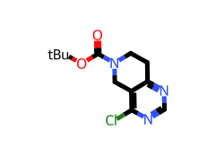 CC(C)(C)OC(=O)N1CCc2ncnc(Cl)c2C1